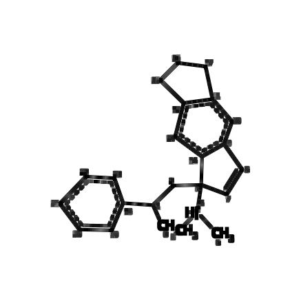 CC(C[C]1([Hf]([CH3])[CH3])C=Cc2cc3c(cc21)CCC3)c1ccccc1